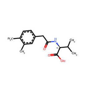 Cc1ccc(CC(=O)N[C@H](C(=O)O)C(C)C)cc1C